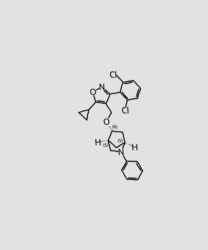 Clc1cccc(Cl)c1-c1noc(C2CC2)c1CO[C@@H]1C[C@@H]2C[C@H]1CN2c1ccccc1